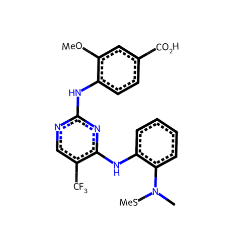 COc1cc(C(=O)O)ccc1Nc1ncc(C(F)(F)F)c(Nc2ccccc2N(C)SC)n1